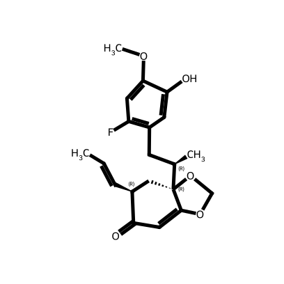 CC=C[C@H]1C[C@]2([C@H](C)Cc3cc(O)c(OC)cc3F)OCOC2=CC1=O